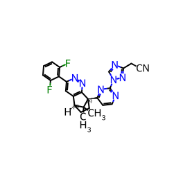 CC1(C)[C@H]2CC[C@@]1(c1ccnc(-n3cnc(CC#N)n3)n1)c1nnc(-c3c(F)cccc3F)cc12